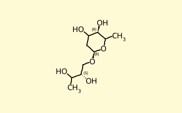 CC1O[C@@H](OC[C@H](O)C(C)O)CC(O)[C@H]1O